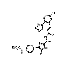 CCOC(=O)Nc1ccc(-c2nc([C@H](C)NC(=O)/C=C/c3cc(Cl)ccc3-n3cnnn3)[nH]c2Cl)cc1